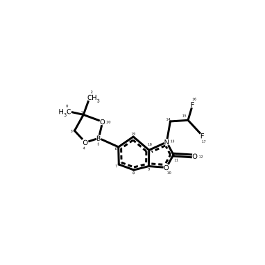 CC1(C)COB(c2ccc3oc(=O)n(CC(F)F)c3c2)O1